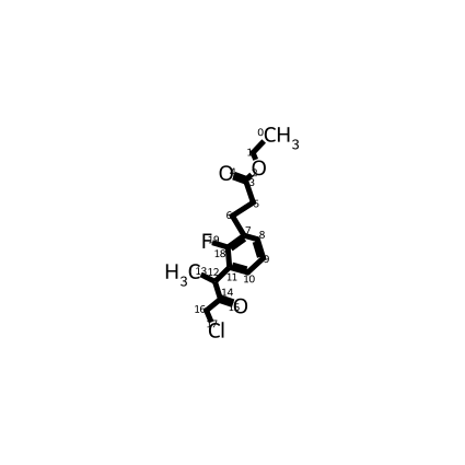 CCOC(=O)CCc1cccc(C(C)C(=O)CCl)c1F